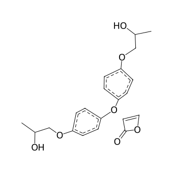 CC(O)COc1ccc(Oc2ccc(OCC(C)O)cc2)cc1.O=C1C=CO1